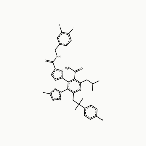 Cc1nnc(-c2c(CC(C)(C)c3ccc(F)cc3)nc(CC(C)C)c(C(N)=O)c2-c2ccc(C(=O)NCc3ccc(F)c(F)c3)s2)o1